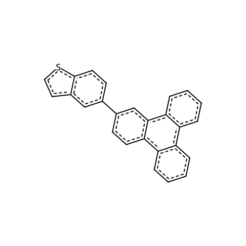 c1ccc2c(c1)c1ccccc1c1cc(-c3ccc4sccc4c3)ccc21